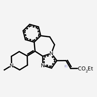 CCOC(=O)/C=C/c1cnc2n1CCc1ccccc1C2=C1CCN(C)CC1